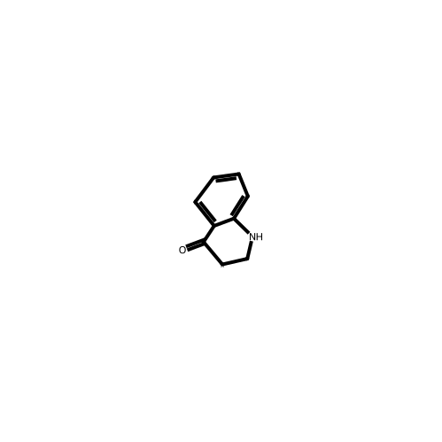 O=C1[C]CNc2ccccc21